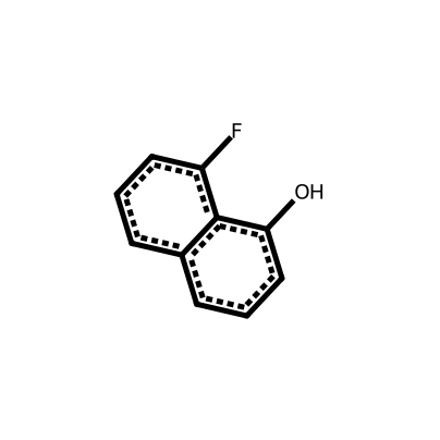 Oc1cccc2cccc(F)c12